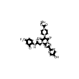 CCc1c(N2CCN(C(=O)OC(C)(C)C)CC2)c(=O)n2nc(-c3ncc(O)cn3)nc2n1CC(=O)Nc1ccc(C(F)(F)F)cc1Cl